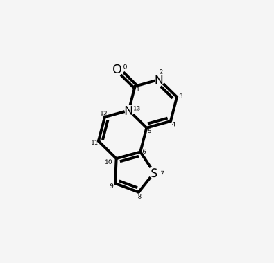 O=c1nccc2c3sccc3ccn12